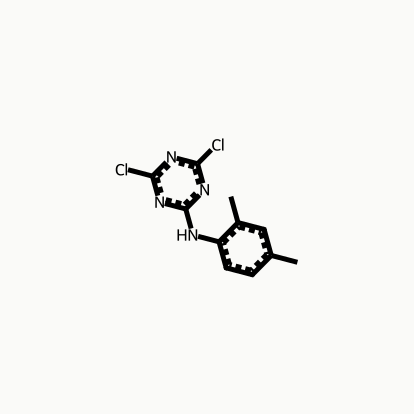 Cc1ccc(Nc2nc(Cl)nc(Cl)n2)c(C)c1